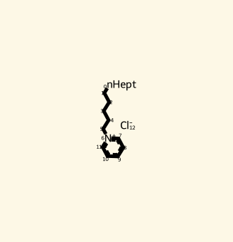 CCCCCCCCCCCC[n+]1ccccc1.[Cl-]